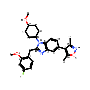 COc1cc(F)ccc1Cc1nc2cc(-c3c(C)noc3C)ccc2n1C1CCC(OC)CC1